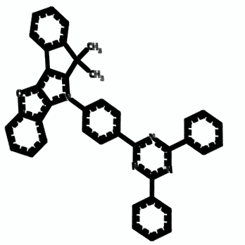 CC1(C)c2ccccc2-c2c1n(-c1ccc(-c3nc(-c4ccccc4)nc(-c4ccccc4)n3)cc1)c1c2oc2ccccc21